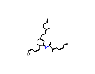 C=C/C=C\C=C(/C)C(=C)/N=C(\C=C(/C)C/C=C(C)\C=C/C=C)C(C)/C=C\C=C/CC